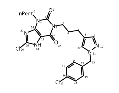 CCCCCn1c(=O)n(CCCc2cnn(Cc3ccc(Cl)cc3)c2)c(=O)c2[nH]c(Cl)nc21